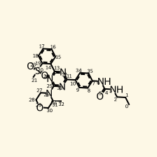 CCCNC(=O)Nc1ccc(-c2nc(-c3ccccc3S(C)(=O)=O)nc(N3CCOC[C@@H]3C)n2)cc1